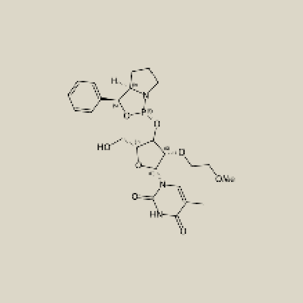 COCCO[C@H]1C(O[P@]2O[C@@H](c3ccccc3)[C@H]3CCCN32)[C@@H](CO)O[C@H]1n1cc(C)c(=O)[nH]c1=O